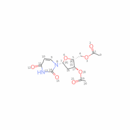 CC(=O)OC[C@H]1O[C@@H](n2ccc(=O)[nH]c2=O)C[C@@H]1OC(C)=O